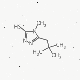 Cn1c(S)nnc1CC(C)(C)C